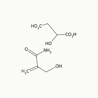 C=C(CO)C(N)=O.O=C(O)CC(O)C(=O)O